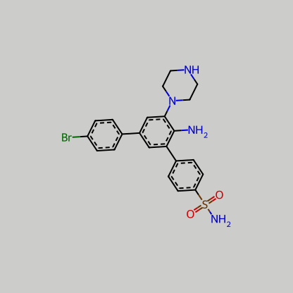 Nc1c(-c2ccc(S(N)(=O)=O)cc2)cc(-c2ccc(Br)cc2)cc1N1CCNCC1